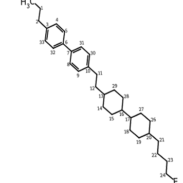 CCCc1ccc(-c2ccc(CCC3CCC(C4CCC(CCCCF)CC4)CC3)cc2)cc1